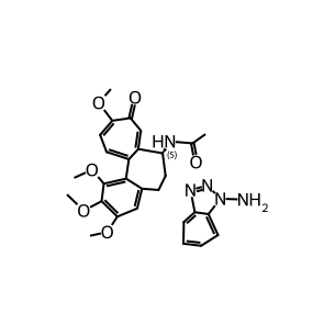 COc1cc2c(c(OC)c1OC)-c1ccc(OC)c(=O)cc1[C@@H](NC(C)=O)CC2.Nn1nnc2ccccc21